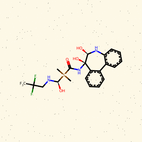 CS(C)(C(=O)N[C@@]1(O)c2ccccc2-c2ccccc2N[C@@H]1O)[C@@H](O)NCC(F)(F)C(F)(F)F